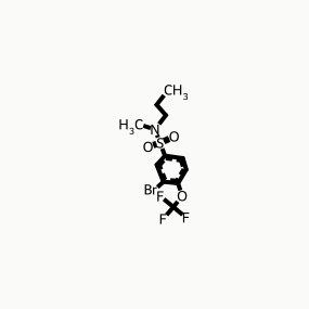 CCCN(C)S(=O)(=O)c1ccc(OC(F)(F)F)c(Br)c1